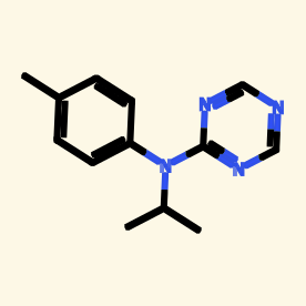 Cc1ccc(N(c2ncncn2)C(C)C)cc1